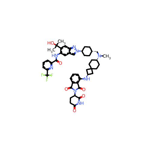 CN(C[C@H]1CC[C@H](n2cc3cc(NC(=O)c4cccc(C(F)(F)F)n4)c(C(C)(C)O)cc3n2)CC1)[C@H]1CCC2(CC1)C[C@H](Nc1cccc3c1C(=O)N(C1CCC(=O)NC1=O)C3=O)C2